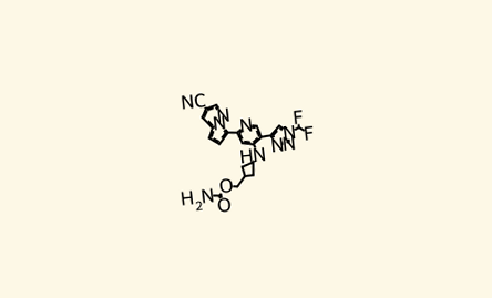 N#Cc1cnn2c(-c3cc(NC4CC(COC(N)=O)C4)c(-c4cn(C(F)F)nn4)cn3)ccc2c1